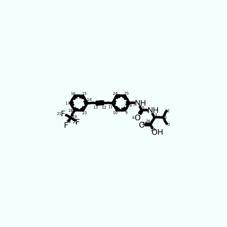 CC(C)C(NC(=O)Nc1ccc(C#Cc2cccc(C(F)(F)F)c2)cc1)C(=O)O